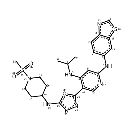 CC(C)Nc1cc(Nc2ccc3ncsc3c2)ncc1-c1nnc(NC2CCN(S(C)(=O)=O)CC2)o1